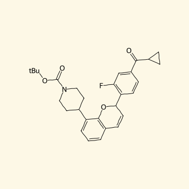 CC(C)(C)OC(=O)N1CCC(c2cccc3c2OC(c2ccc(C(=O)C4CC4)cc2F)C=C3)CC1